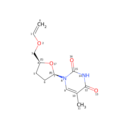 C=COC[C@@H]1CC[C@H](n2cc(C)c(=O)[nH]c2=O)O1